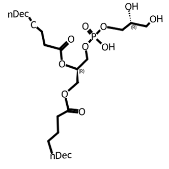 CCCCCCCCCCCCCC(=O)OC[C@H](COP(=O)(O)OC[C@H](O)CO)OC(=O)CCCCCCCCCCCCC